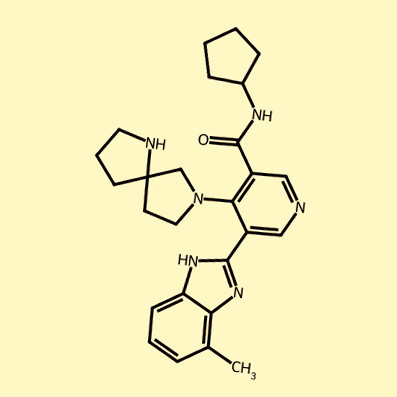 Cc1cccc2[nH]c(-c3cncc(C(=O)NC4CCCC4)c3N3CCC4(CCCN4)C3)nc12